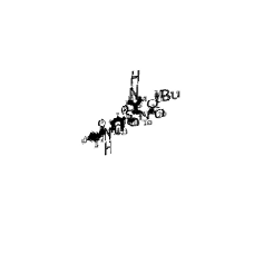 C=CC(=O)Nc1ccc(S(=O)(=O)C(C2CNC2)N(C)C(=O)OC(C)(C)C)cc1